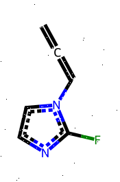 C=C=Cn1ccnc1F